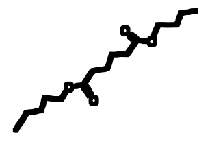 CCCCCOC(=O)CCCCC(=O)OCCCC